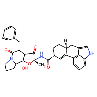 C[C@@]1(NC(=O)[C@@H]2C=C3c4cccc5[nH]cc(c45)C[C@H]3CC2)O[C@]2(O)C(C1=O)[C@@H](Cc1ccccc1)C(=O)N1CCCC12